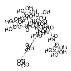 O=C(CCCCCNC(=O)CN(CC(=O)N[C@@H](CCC(=O)NCCO[C@H]1O[C@H](CO)[C@@H](O)[C@H](O)[C@@H]1O)C(=O)NCCO[C@H]1O[C@H](CO)[C@@H](O)[C@H](O)[C@@H]1O)CC(=O)N[C@@H](CCC(=O)NCCO[C@H]1O[C@H](CO)[C@@H](O)[C@H](O)[C@@H]1O)C(=O)NCCO[C@H]1O[C@H](CO)[C@@H](O)[C@H](O)[C@@H]1O)NCCCCCC(=O)ON1C(=O)CCC1=O